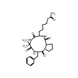 CC(=O)SCCCCC1NC(=O)C2CCCN2C(=O)C(Cc2ccccc2)NC(=O)C(C)(C)NC1=O